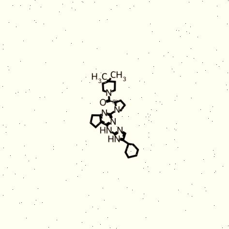 CC1(C)CCN(C(=O)[C@H]2CCCN2c2nc3c(c(Nc4ncc(C5CCCCC5)[nH]4)n2)CCC3)CC1